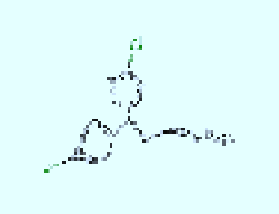 O=C(O)C=CC=C(c1ccc(Cl)cc1)c1ccc(Cl)cc1